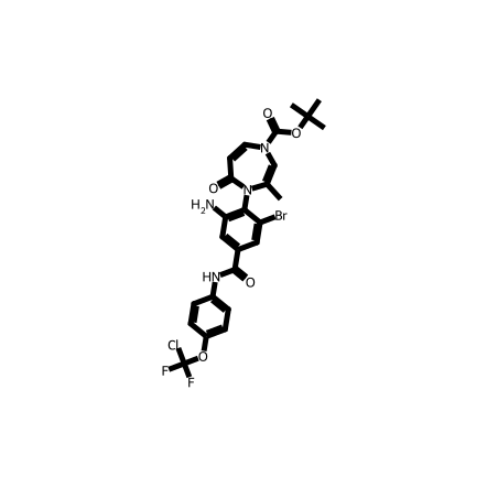 CC1=CN(C(=O)OC(C)(C)C)C=CC(=O)N1c1c(N)cc(C(=O)Nc2ccc(OC(F)(F)Cl)cc2)cc1Br